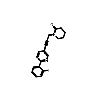 O=C1CCCCN1CC#Cc1ccc(-c2ccccc2F)nc1